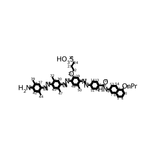 CCCOc1cccc2cc(NC(=O)c3ccc(N=Nc4cc(OCCCS(=O)(=O)O)c(N=Nc5cc(C)c(N=Nc6cc(C)c(N)cc6C)cc5C)cc4C)cc3)ccc12